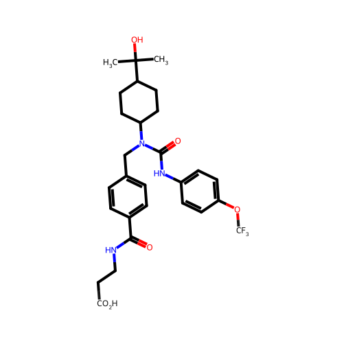 CC(C)(O)C1CCC(N(Cc2ccc(C(=O)NCCC(=O)O)cc2)C(=O)Nc2ccc(OC(F)(F)F)cc2)CC1